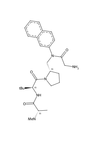 CN[C@@H](C)C(=O)N[C@H](C(=O)N1CCC[C@H]1CN(C(=O)CN)c1ccc2ccccc2c1)C(C)(C)C